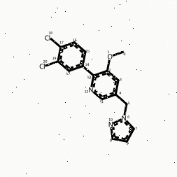 COc1cc(Cn2cccn2)cnc1-c1ccc(Cl)c(Cl)c1